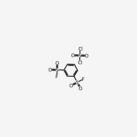 O=S(=O)(Cl)Cl.O=S(=O)(F)c1cccc(S(=O)(=O)F)c1